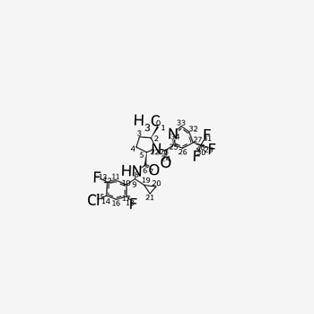 CC[C@@H]1CC[C@H](C(=O)NC(c2cc(F)c(Cl)cc2F)C2CC2)N1C(=O)c1cc(C(F)(F)F)ccn1